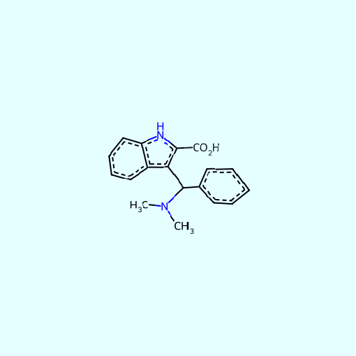 CN(C)C(c1ccccc1)c1c(C(=O)O)[nH]c2ccccc12